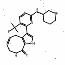 O=C1NCC=CCc2c(-c3nc(NC4CCCNC4)ncc3C(F)(F)F)c[nH]c21